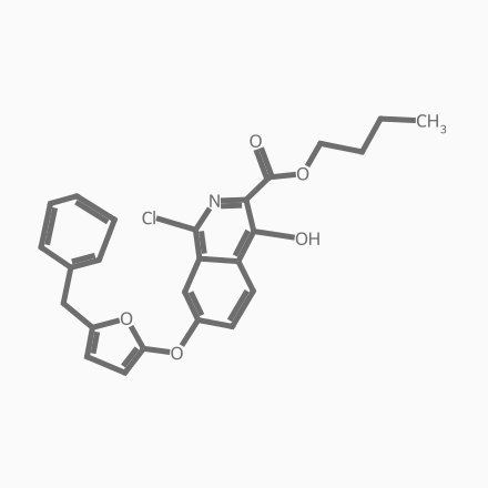 CCCCOC(=O)c1nc(Cl)c2cc(Oc3ccc(Cc4ccccc4)o3)ccc2c1O